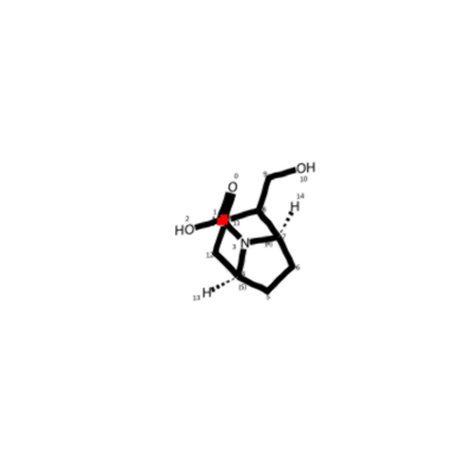 O=C(O)N1[C@H]2CC[C@@H]1C(CO)NC2